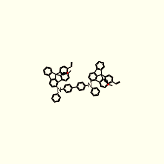 C=Cc1ccc(C23c4ccccc4-c4ccc(N(c5ccccc5)c5ccc(-c6ccc(N(c7ccccc7)c7ccc8c9c7-c7ccc(C)cc7C9(c7ccc(C=C)cc7)c7ccccc7-8)cc6)cc5)c(c42)-c2ccc(C)cc23)cc1